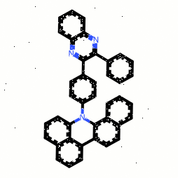 c1ccc(-c2nc3ccccc3nc2-c2ccc(N3c4c(ccc5ccccc45)-c4cccc5cccc3c45)cc2)cc1